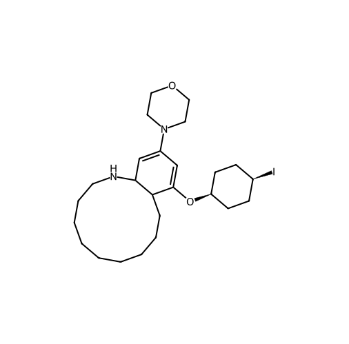 I[C@H]1CC[C@@H](OC2=CC(N3CCOCC3)=CC3NCCCCCCCCCC23)CC1